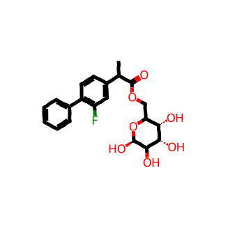 CC(C(=O)OCC1O[C@H](O)C(O)[C@@H](O)[C@H]1O)c1ccc(-c2ccccc2)c(F)c1